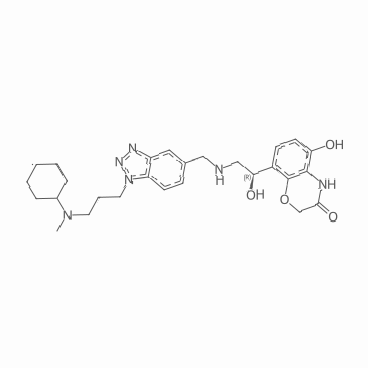 CN(CCCn1nnc2cc(CNC[C@H](O)c3ccc(O)c4c3OCC(=O)N4)ccc21)C1CC[CH]CC1